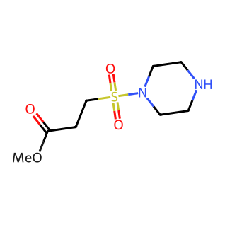 COC(=O)CCS(=O)(=O)N1CCNCC1